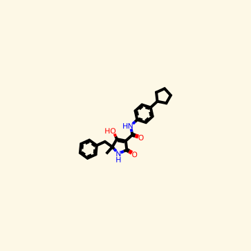 CC1(Cc2ccccc2)NC(=O)C(C(=O)Nc2ccc(C3CCCC3)cc2)=C1O